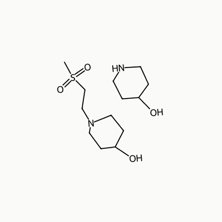 CS(=O)(=O)CCN1CCC(O)CC1.OC1CCNCC1